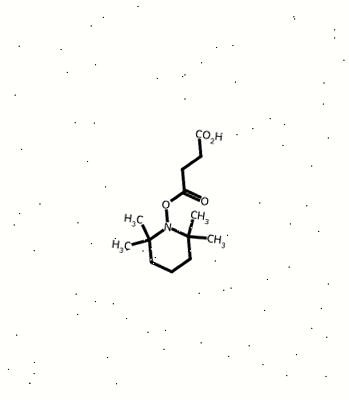 CC1(C)CCCC(C)(C)N1OC(=O)CCC(=O)O